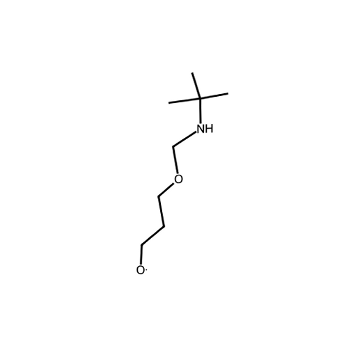 CC(C)(C)NCOCCC[O]